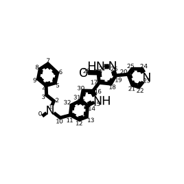 CN(CCc1ccccc1)Cc1ccc2[nH]c(-c3cc(-c4ccncc4)n[nH]c3=O)cc2c1